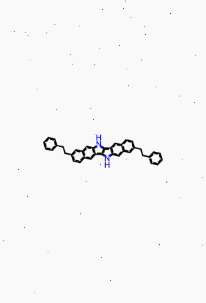 c1ccc(CCc2ccc3cc4c(cc3c2)[nH]c2c3cc5ccc(CCc6ccccc6)cc5cc3[nH]c42)cc1